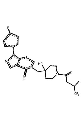 CC(CC(=O)N1CCC(O)(Cn2cnc3c(cnn3-c3ccc(F)cc3)c2=O)CC1)C(F)(F)F